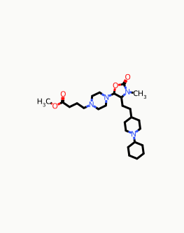 COC(=O)CCCN1CCN(C2OC(=O)N(C)C2CCC2CCN(C3CCCCC3)CC2)CC1